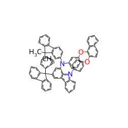 CC1(C)c2ccccc2-c2ccc(N(c3ccc4c(c3)Oc3c(ccc5ccccc35)O4)c3cc(C4(c5ccccc5)c5ccccc5-c5ccccc54)cc4c5ccccc5n(-c5ccccc5)c34)cc21